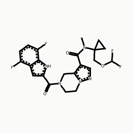 CN(C(=O)c1cnn2c1CN(C(=O)c1cc3c(F)ccc(F)c3[nH]1)CC2)C1(COC(F)F)CC1